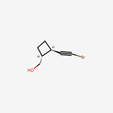 OC[C@@H]1CC[C@H]1C#CBr